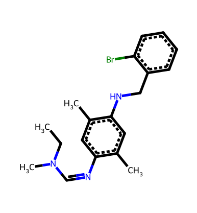 CCN(C)/C=N\c1cc(C)c(NCc2ccccc2Br)cc1C